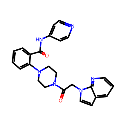 O=C(Nc1ccncc1)c1ccccc1N1CCN(C(=O)Cn2ccc3cccnc32)CC1